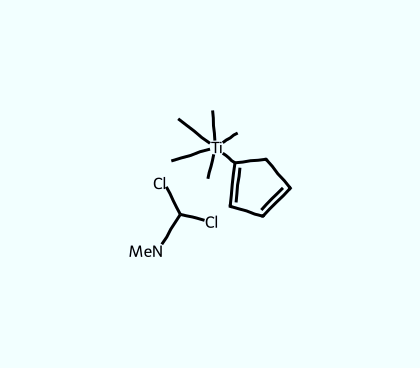 CNC(Cl)Cl.[CH3][Ti]([CH3])([CH3])([CH3])([CH3])[C]1=CC=CC1